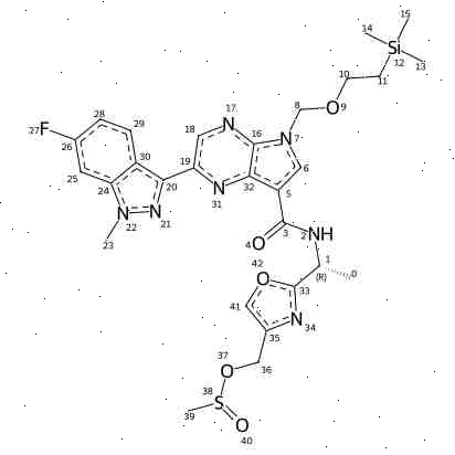 C[C@@H](NC(=O)c1cn(COCC[Si](C)(C)C)c2ncc(-c3nn(C)c4cc(F)ccc34)nc12)c1nc(COS(C)=O)co1